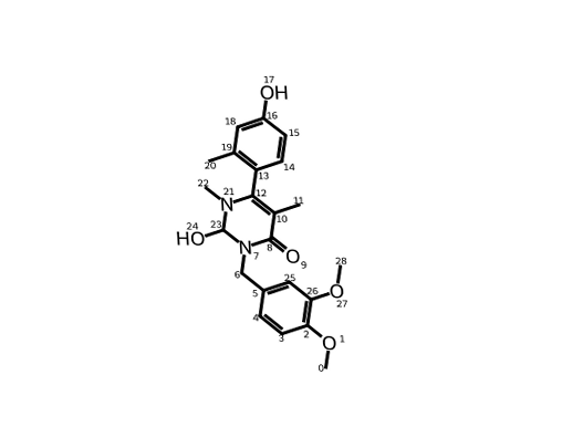 COc1ccc(CN2C(=O)C(C)=C(c3ccc(O)cc3C)N(C)C2O)cc1OC